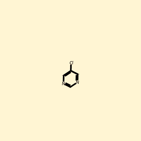 Clc1[c]ncn[c]1